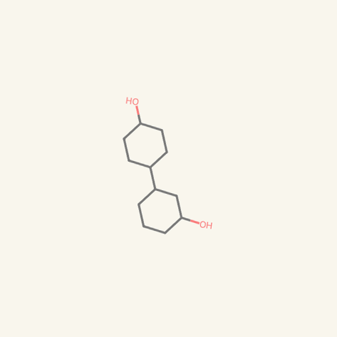 OC1CCC(C2CCCC(O)C2)CC1